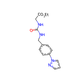 CCOC(=O)CNC(=O)NCc1ccc(-n2cccn2)cc1